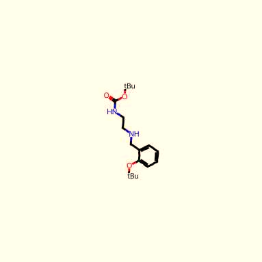 CC(C)(C)OC(=O)NCCNCc1ccccc1OC(C)(C)C